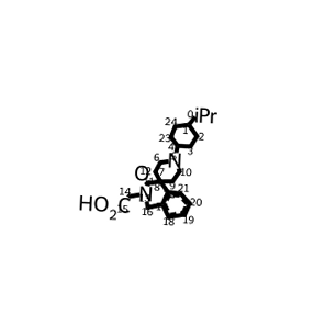 CC(C)C1CCC(N2CCC3(CC2)C(=O)N(CC(=O)O)Cc2ccccc23)CC1